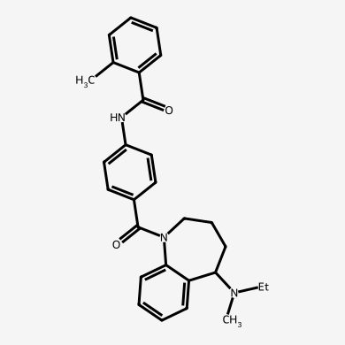 CCN(C)C1CCCN(C(=O)c2ccc(NC(=O)c3ccccc3C)cc2)c2ccccc21